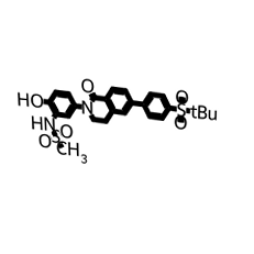 CC(C)(C)S(=O)(=O)c1ccc(-c2ccc3c(c2)CCN(c2ccc(O)c(NS(C)(=O)=O)c2)C3=O)cc1